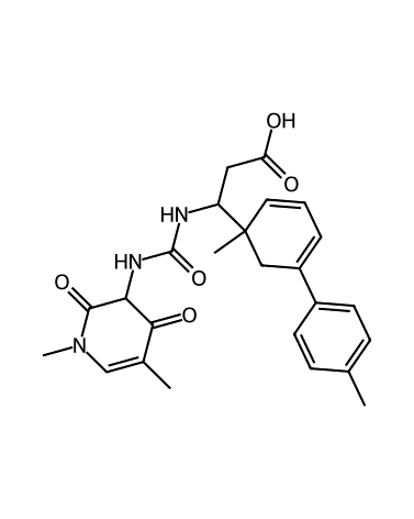 CC1=CN(C)C(=O)C(NC(=O)NC(CC(=O)O)C2(C)C=CC=C(c3ccc(C)cc3)C2)C1=O